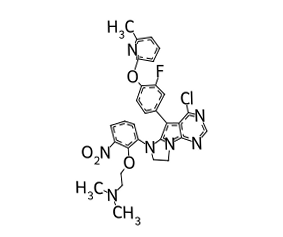 Cc1cccc(Oc2ccc(-c3c4n(c5ncnc(Cl)c35)CCN4c3cccc([N+](=O)[O-])c3OCCN(C)C)cc2F)n1